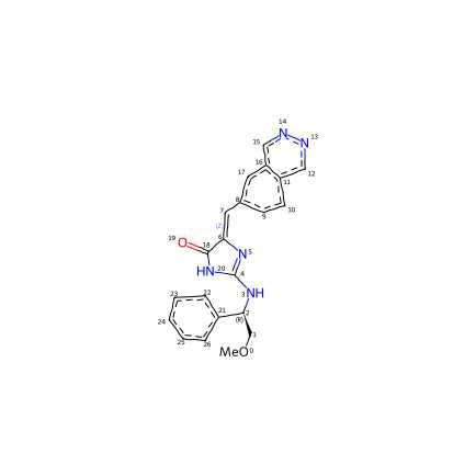 COC[C@H](NC1=N/C(=C\c2ccc3cnncc3c2)C(=O)N1)c1ccccc1